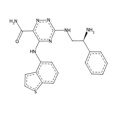 NC(=O)c1nnc(NC[C@@H](N)c2ccccc2)nc1Nc1cccc2sccc12